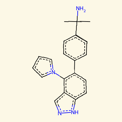 CC(C)(N)c1ccc(-c2ccc3[nH]ncc3c2-n2cccc2)cc1